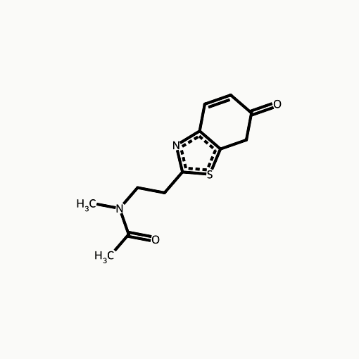 CC(=O)N(C)CCc1nc2c(s1)CC(=O)C=C2